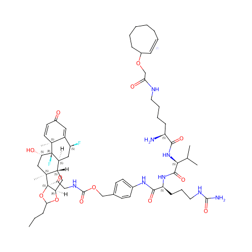 CCCC1O[C@@H]2C[C@H]3[C@@H]4C[C@H](F)C5=CC(=O)C=C[C@]5(C)[C@@]4(F)[C@@H](O)C[C@]3(C)[C@]2(C(=O)CNC(=O)OCc2ccc(NC(=O)[C@H](CCCNC(N)=O)NC(=O)[C@@H](NC(=O)[C@@H](N)CCCCNC(=O)COC3/C=C\CCCCC3)C(C)C)cc2)O1